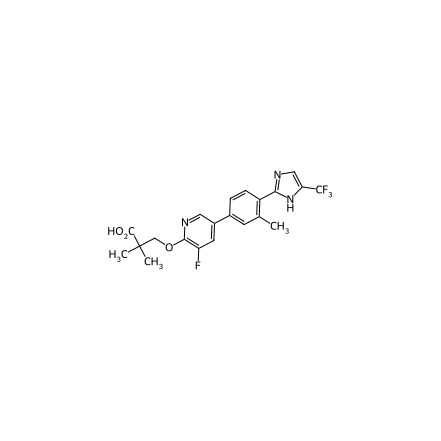 Cc1cc(-c2cnc(OCC(C)(C)C(=O)O)c(F)c2)ccc1-c1ncc(C(F)(F)F)[nH]1